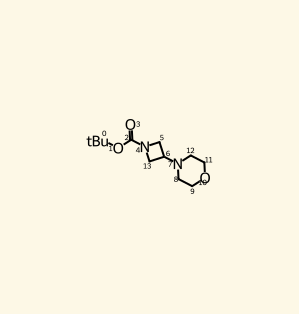 CC(C)(C)OC(=O)N1CC(N2CCOCC2)C1